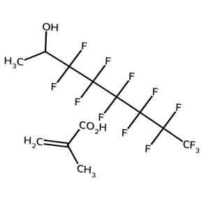 C=C(C)C(=O)O.CC(O)C(F)(F)C(F)(F)C(F)(F)C(F)(F)C(F)(F)C(F)(F)F